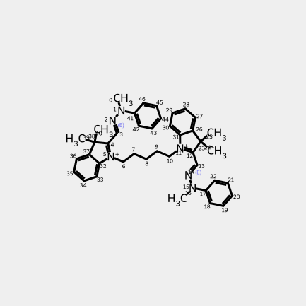 CN(/N=C/C1=[N+](CCCCC[N+]2=C(/C=N/N(C)c3ccccc3)C(C)(C)c3ccccc32)c2ccccc2C1(C)C)c1ccccc1